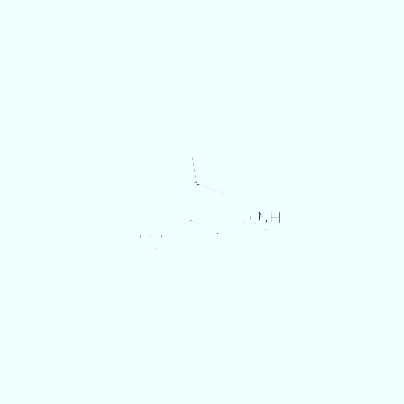 C=C(C)C.N.O=C(O)CCC(=O)O